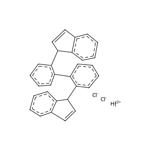 C1=CC(c2ccccc2-c2ccccc2C2C=Cc3ccccc32)c2ccccc21.[Cl-].[Cl-].[Hf+2]